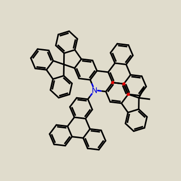 CC1(C)c2ccccc2-c2cc(N(c3ccc4c5ccccc5c5ccccc5c4c3)c3cc4c(cc3-c3cc5ccccc5c5ccccc35)-c3ccccc3C43c4ccccc4-c4ccccc43)ccc21